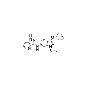 Cn1nc(OC2CCOC2)c2ccc(Nc3n[nH]c4cccnc34)cc21